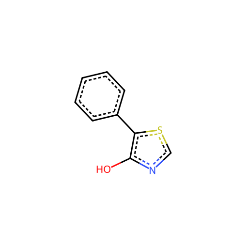 Oc1ncsc1-c1ccccc1